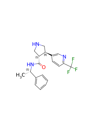 C[C@H](NC(=O)[C@@H]1CNC[C@H]1c1ccc(C(F)(F)F)nc1)c1ccccc1